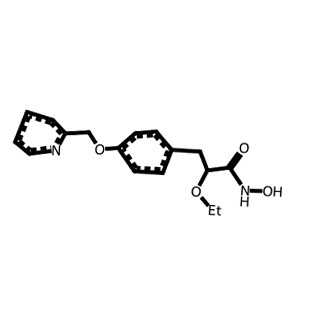 CCOC(Cc1ccc(OCc2ccccn2)cc1)C(=O)NO